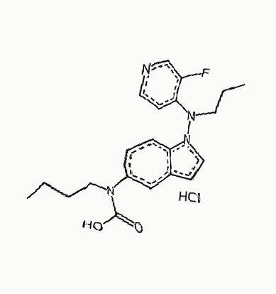 CCCCN(C(=O)O)c1ccc2c(ccn2N(CCC)c2ccncc2F)c1.Cl